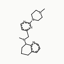 CN1CCN(c2nccc(CN(C)C3CCCc4cccnc43)n2)CC1